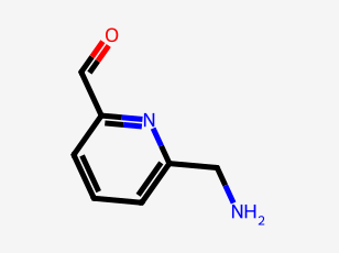 NCc1cccc(C=O)n1